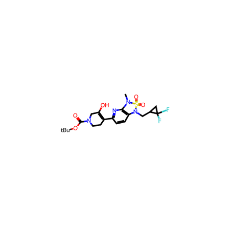 CN1c2nc(C3=C(O)CN(C(=O)OC(C)(C)C)CC3)ccc2N(CC2CC2(F)F)S1(=O)=O